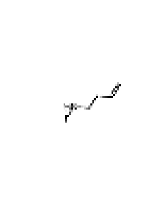 C=CCCNI